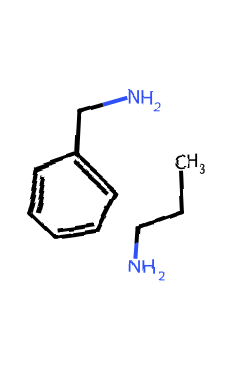 CCCN.NCc1ccccc1